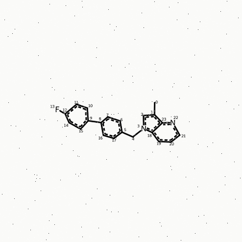 Cc1cn(Cc2ccc(-c3ccc(F)cc3)cc2)c2cccnc12